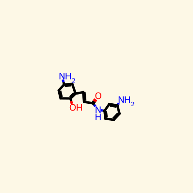 Nc1cccc(NC(=O)C=Cc2cc(N)ccc2O)c1